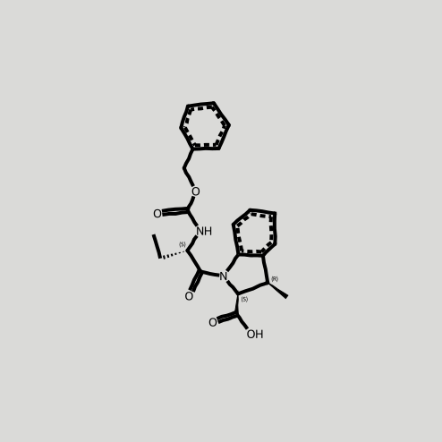 CC[C@H](NC(=O)OCc1ccccc1)C(=O)N1c2ccccc2[C@@H](C)[C@H]1C(=O)O